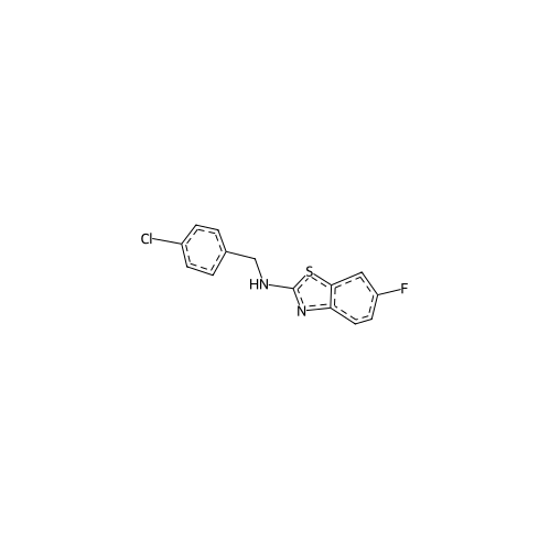 Fc1ccc2nc(NCc3ccc(Cl)cc3)sc2c1